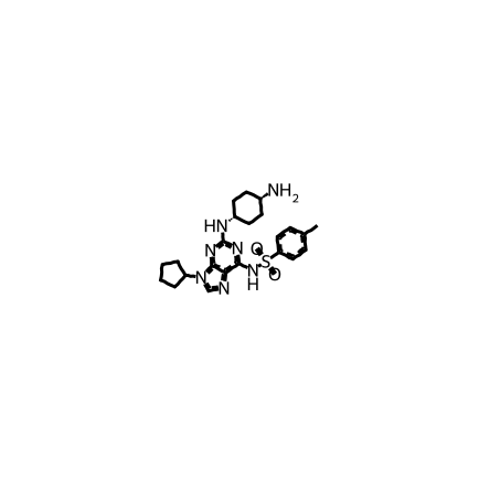 Cc1ccc(S(=O)(=O)Nc2nc(N[C@H]3CC[C@H](N)CC3)nc3c2ncn3C2CCCC2)cc1